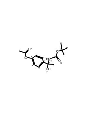 CC(=O)Oc1ccc(C(C)(O)NC(=O)OC(C)(C)C)cc1